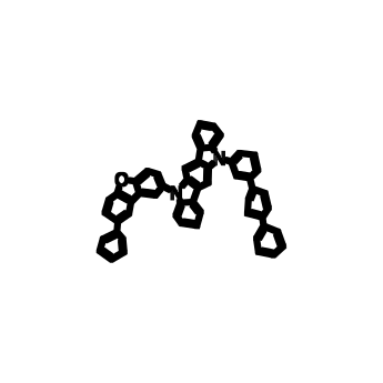 c1ccc(-c2ccc(-c3cccc(-n4c5ccccc5c5cc6c(cc54)c4ccccc4n6-c4ccc5oc6ccc(-c7ccccc7)cc6c5c4)c3)cc2)cc1